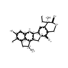 CC[C@@]1(O)C(=O)OCc2c1cc1n(c2=O)Cc2c-1nc1cc(F)c(C)c3c1c2[C@@H](N)C3